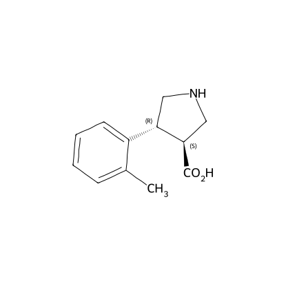 Cc1ccccc1[C@@H]1CNC[C@H]1C(=O)O